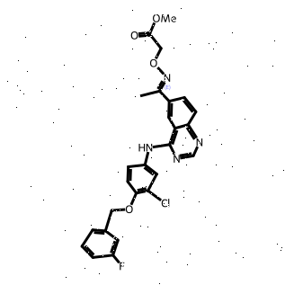 COC(=O)CO/N=C(\C)c1ccc2ncnc(Nc3ccc(OCc4cccc(F)c4)c(Cl)c3)c2c1